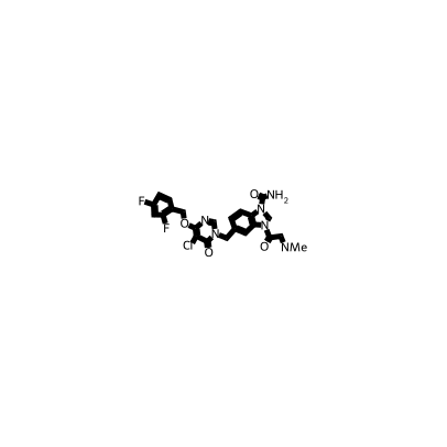 CNCC(=O)N1CN(C(N)=O)c2ccc(Cn3cnc(OCc4ccc(F)cc4F)c(Cl)c3=O)cc21